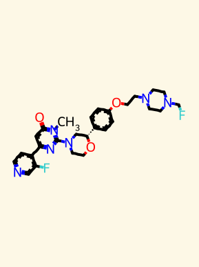 Cn1c(N2CCO[C@@H](c3ccc(OCCN4CCN(CF)CC4)cc3)C2)nc(-c2ccncc2F)cc1=O